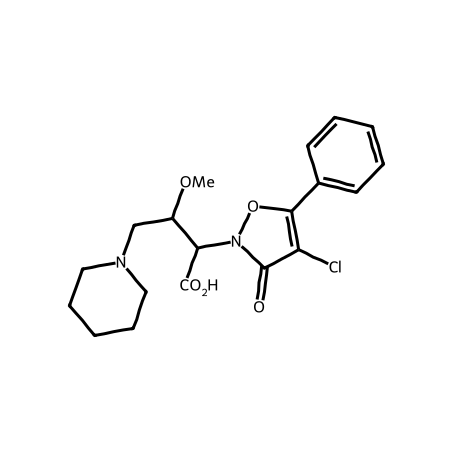 COC(CN1CCCCC1)C(C(=O)O)n1oc(-c2ccccc2)c(Cl)c1=O